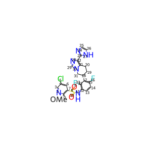 COc1ncc(Cl)cc1S(=O)(=O)Nc1ccc(F)c([C@H]2CCc3c(-c4ncc[nH]4)ncn3C2)c1F